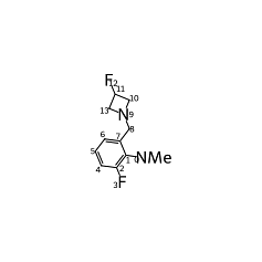 CNc1c(F)cccc1CN1CC(F)C1